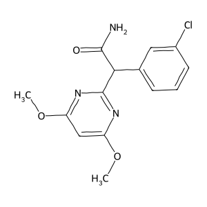 COc1cc(OC)nc(C(C(N)=O)c2cccc(Cl)c2)n1